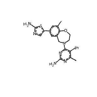 Cc1cc(-c2cnc(N)s2)cc2c1OCCN(c1nc(N)nc(C)c1C(C)C)C2